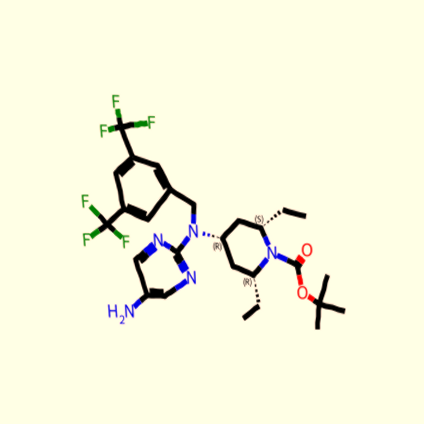 CC[C@@H]1C[C@H](N(Cc2cc(C(F)(F)F)cc(C(F)(F)F)c2)c2ncc(N)cn2)C[C@H](CC)N1C(=O)OC(C)(C)C